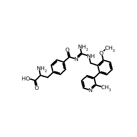 COc1cccc(-c2cccnc2C)c1CNC(N)=NC(=O)c1ccc(CC(N)C(=O)O)cc1